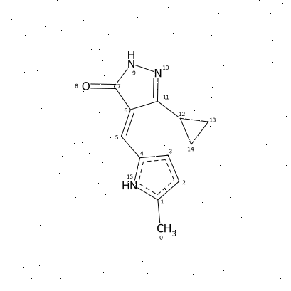 Cc1ccc(C=C2C(=O)NN=C2C2CC2)[nH]1